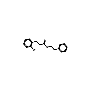 O=C(CCc1ccccc1O)OCCc1ccccc1